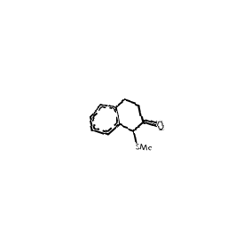 CSC1C(=O)CCc2ccccc21